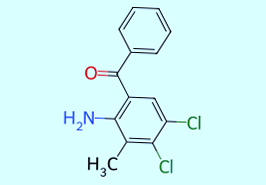 Cc1c(N)c(C(=O)c2ccccc2)cc(Cl)c1Cl